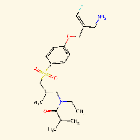 CCN(CC(C)CS(=O)(=O)c1ccc(OCC(=CF)CN)cc1)C(=O)C(C)C